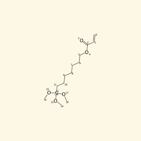 C=CC(=O)OCCCCCCC[Si](OC)(OC)OC